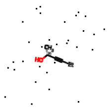 CCC#C[C@@H](C)O